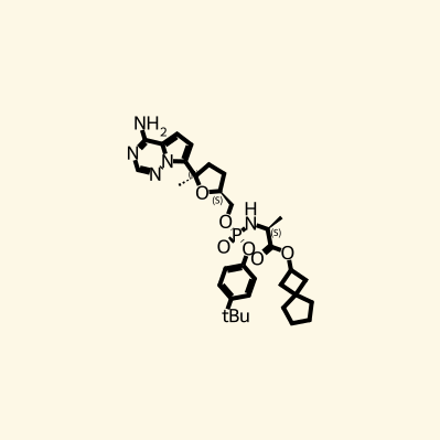 C[C@H](NP(=O)(OC[C@@H]1CC[C@](C)(c2ccc3c(N)ncnn23)O1)Oc1ccc(C(C)(C)C)cc1)C(=O)OC1CC2(CCCC2)C1